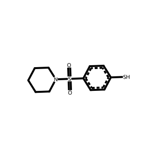 O=S(=O)(c1ccc(S)cc1)N1CCCCC1